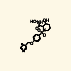 O=C(NO)C1C(O)CCCN1S(=O)(=O)c1ccc(OCc2cncs2)cc1